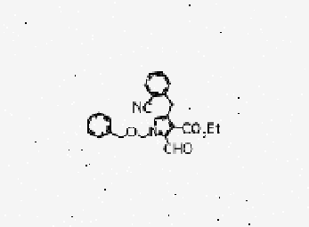 CCOC(=O)c1c(Cc2ccccc2C#N)cn(COCc2ccccc2)c1C=O